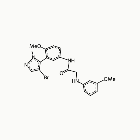 COc1cccc(NCC(=O)Nc2ccc(OC)c(-c3c(Br)cnn3C)c2)c1